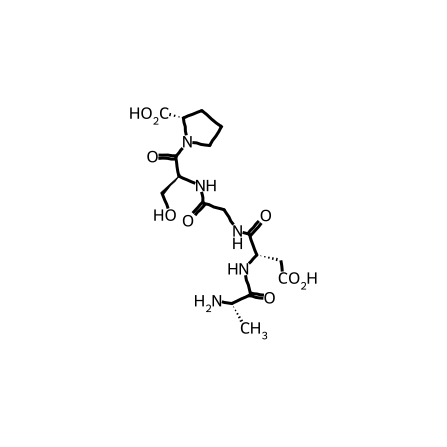 C[C@H](N)C(=O)N[C@@H](CC(=O)O)C(=O)NCC(=O)N[C@@H](CO)C(=O)N1CCC[C@H]1C(=O)O